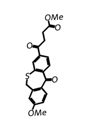 COC(=O)CCC(=O)c1ccc2c(c1)SCc1cc(OC)ccc1C2=O